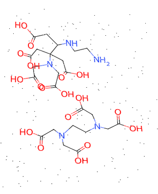 NCCNC(CC(=O)O)C(CC(=O)O)(CC(=O)O)N(CC(=O)O)CC(=O)O.O=C(O)CN(CCN(CC(=O)O)CC(=O)O)CC(=O)O